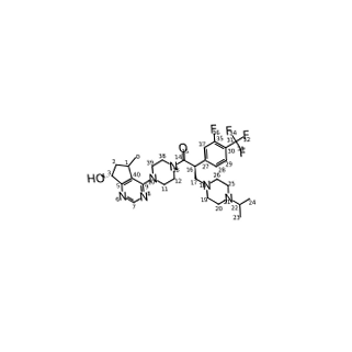 CC1C[C@@H](O)c2ncnc(N3CCN(C(=O)[C@H](CN4CCN(C(C)C)CC4)c4ccc(C(F)(F)F)c(F)c4)CC3)c21